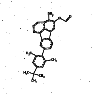 Cc1cc(C(C)(C)C)cc(C)c1-c1ccc2c(c1)-c1cccc3c(N)c(OC=O)cc-2c13